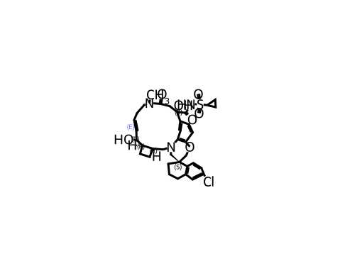 CN1CC/C=C/[C@H](O)[C@@H]2CC[C@H]2CN2C[C@@]3(CCCc4cc(Cl)ccc43)COc3ccc(cc32)[C@@](O)(C(=O)NS(=O)(=O)C2CC2)CC1=O